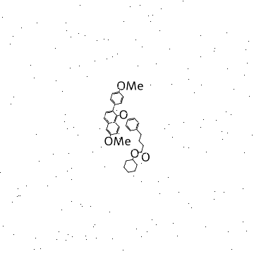 COc1ccc(-c2ccc3cc(OC)ccc3c2Oc2ccc(CCCC(=O)OC3CCCCC3)cc2)cc1